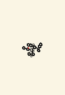 c1ccc(-c2ccc(-c3nc(-c4cccc5oc6ccccc6c45)nc(-c4cc(-n5c6ccccc6c6cc7ccccc7cc65)cc5oc6cc7ccccc7cc6c45)n3)cc2)cc1